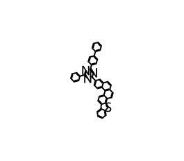 c1ccc(-c2ccc(-c3nc(-c4ccccc4)nc(-c4ccc5c(ccc6ccc7c(ccc8c9ccccc9sc87)c65)c4)n3)cc2)cc1